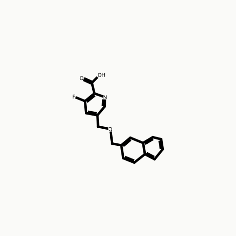 O=C(O)c1ncc(COCc2ccc3ccccc3c2)cc1F